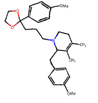 COc1ccc(CC2C(C)=C(C)CCN2CCCC2(c3ccc(OC)cc3)OCCO2)cc1